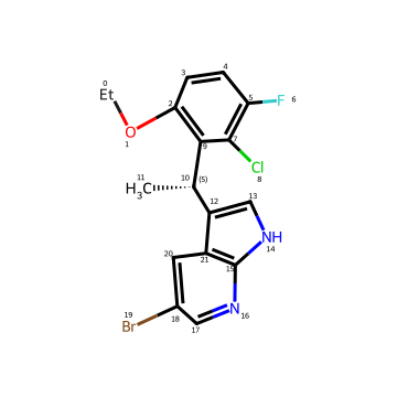 CCOc1ccc(F)c(Cl)c1[C@@H](C)c1c[nH]c2ncc(Br)cc12